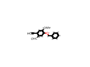 C#Cc1cc(OC)c(OCc2ccccc2)cc1C=O